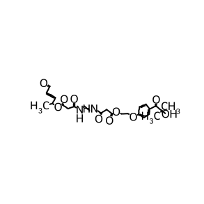 CC(/C=C/C=O)OC(=O)CC(=O)NCCNC(=O)CC(=O)OCCOc1ccc(C(=O)C(C)(C)O)cc1